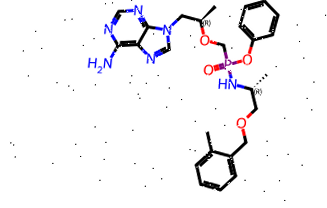 Cc1ccccc1COC[C@@H](C)NP(=O)(CO[C@H](C)Cn1cnc2c(N)ncnc21)Oc1ccccc1